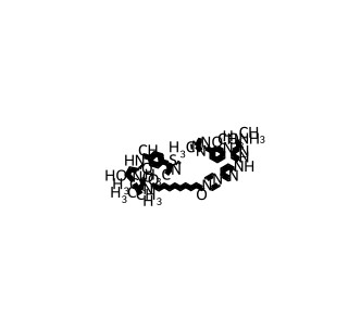 CNC(=O)c1nnc(Nc2ccc(N3CCN(C(=O)CCCCCCCCC(=O)NC(C(=O)N4C[C@H](O)C[C@H]4C(=O)N[C@@H](C)c4ccc(-c5scnc5C)cc4)C(C)(C)C)CC3)cn2)cc1Nc1cccc(-c2ncn(C)n2)c1OC